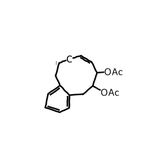 CC(=O)OC1/C=C\C[C]Cc2ccccc2CC1OC(C)=O